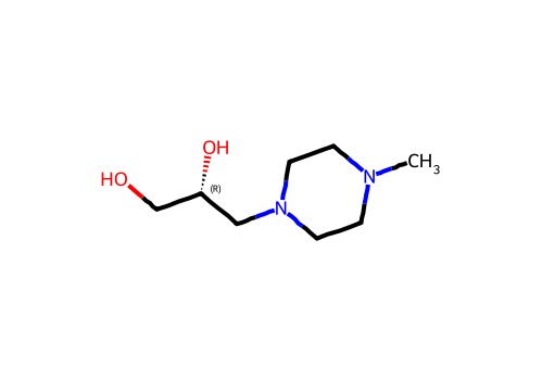 CN1CCN(C[C@@H](O)CO)CC1